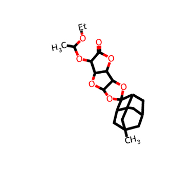 CCOC(C)OC1C(=O)OC2C3OC4(OC3OC12)C1CCC2CC4CC(C)(C2)C1